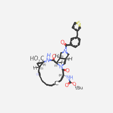 CC(C)(C)OC(=O)N[C@@H]1CCCCC/C=C\[C@@H]2C[C@@]2(C(=O)O)NC(=O)[C@@H]2[C@H]3CN(C(=O)c4cccc(-c5ccsc5)c4)C[C@H]3CN2C1=O